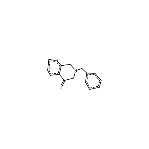 O=C1CN(Cc2ccccc2)Cc2ncccc21